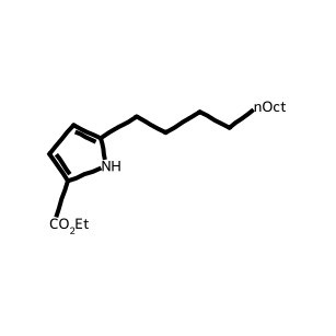 CCCCCCCCCCCCc1ccc(C(=O)OCC)[nH]1